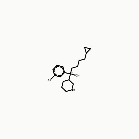 O[C@](CCCCC1CC1)(c1cccc(Cl)c1)C1CCCNC1